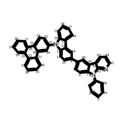 c1ccc(-n2c3ccc(-c4ccc5c(c4)c4ccccc4n5-c4ccc5c6ccccc6c6ccccc6c5c4)cc3c3cccnc32)cc1